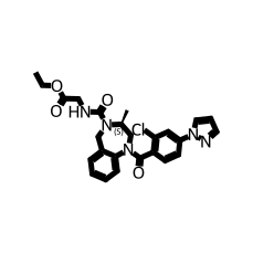 CCOC(=O)CNC(=O)N1Cc2ccccc2N(C(=O)c2ccc(-n3cccn3)cc2Cl)C[C@@H]1C